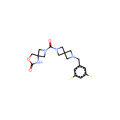 O=C1NC2(CO1)CN(C(=O)N1CC3(CN(Cc4cc(F)cc(F)c4)C3)C1)C2